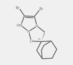 BrC1=C(Br)N2C[C@]3(CC4CCC3CC4)ON2N1